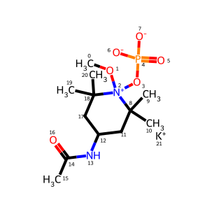 CO[N+]1(OP(=O)([O-])[O-])C(C)(C)CC(NC(C)=O)CC1(C)C.[K+]